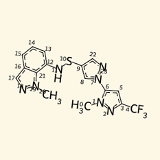 Cn1nc(C(F)(F)F)cc1-n1cc(SNc2cccc3cnn(C)c23)cn1